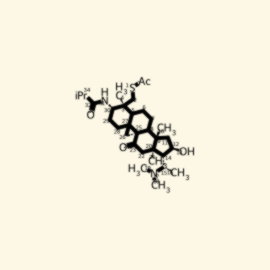 CC(=O)SC[C@@]1(C)C2CCC3[C@]4(C)C[C@@H](O)[C@H]([C@H](C)N(C)C)[C@@]4(C)CC(=O)[C@]34CC24CC[C@@H]1NC(=O)C(C)C